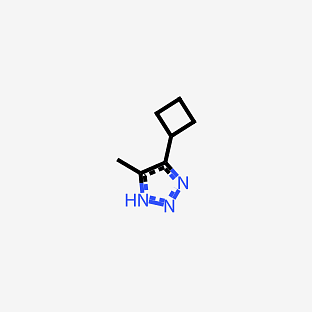 Cc1[nH]nnc1C1CCC1